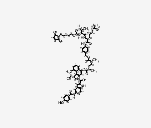 Cc1cccc2c(OC(=O)N(C)CCN(C)C(=O)OCc3ccc(NC(=O)[C@H](CCCNC(N)=O)NC(=O)[C@@H](NC(=O)OCCOCCN4C(=O)C=CC4=O)C(C)C)cc3)cc3c(c12)[C@H](CCl)CN3C(=O)c1cc2cc(NC(=O)c3ccc(O)cc3)ncc2[nH]1